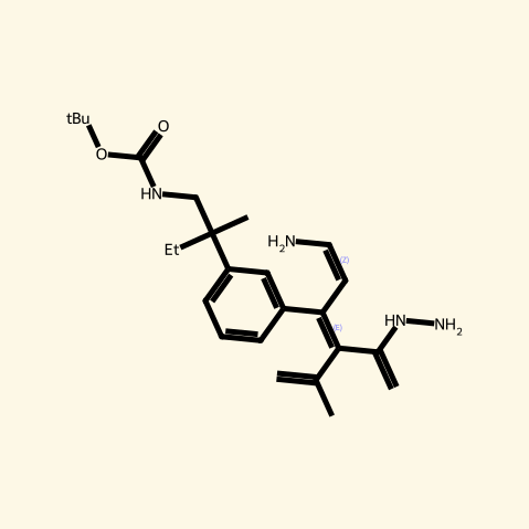 C=C(C)/C(C(=C)NN)=C(/C=C\N)c1cccc(C(C)(CC)CNC(=O)OC(C)(C)C)c1